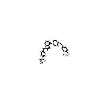 COc1ccc(CN2CCN(c3ccnc4c3ccn4Cc3ccc(C(=O)NO)cc3)CC2)cc1